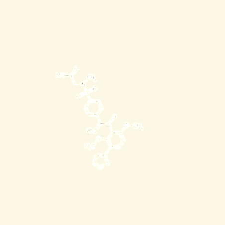 C=C(C(=O)c1c(OC)ccc(-c2cccs2)c1OC)c1ccc(S(=O)(=O)N(C)CC(=O)O)cc1